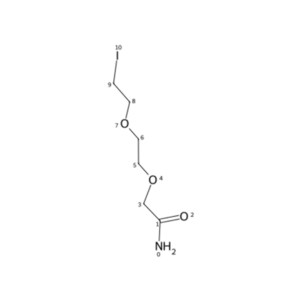 NC(=O)COCCOCCI